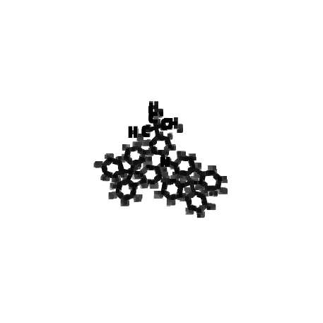 CC(C)(C)c1ccc(N(c2ccc3c(c2)C(c2ccccc2)(c2ccccc2)c2ccccc2-3)c2ccc3c(c2)C(c2ccccc2)(c2ccccc2)c2ccccc2-3)cc1